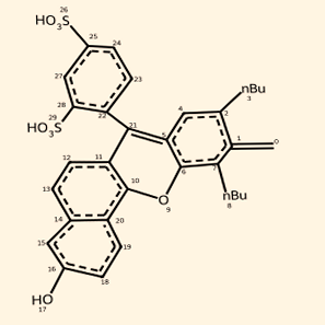 C=c1c(CCCC)cc2c(c1CCCC)Oc1c(ccc3cc(O)ccc13)C=2c1ccc(S(=O)(=O)O)cc1S(=O)(=O)O